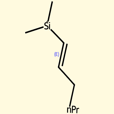 CCCC/C=C/[Si](C)C